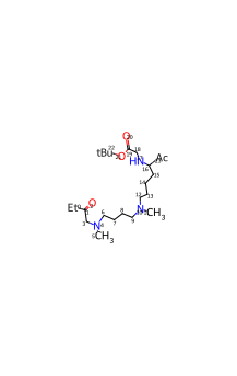 CCC(=O)CN(C)CCCCN(C)CCCCC(NCC(=O)OC(C)(C)C)C(C)=O